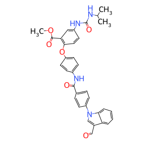 COC(=O)c1cc(NC(=O)NC(C)C)ccc1Oc1ccc(NC(=O)c2ccc(-n3cc(C=O)c4ccccc43)cc2)cc1